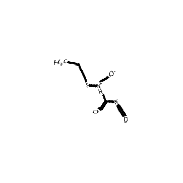 CCS[NH+]([O-])C(=O)N=O